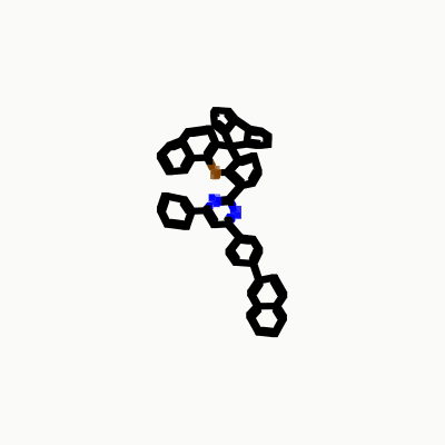 c1ccc(-c2cc(-c3ccc(-c4ccc5ccccc5c4)cc3)nc(-c3cccc4c3Sc3c(ccc5ccccc35)C43c4ccccc4-c4ccccc43)n2)cc1